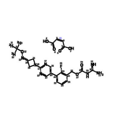 O=C(O)/C=C\C(=O)O.[2H]C([2H])([2H])ON=C1CN(c2ncc(-c3cccc(COC(=O)NC(=N)N)c3F)cn2)C1